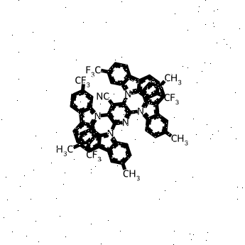 Cc1ccc2c(c1)c1cc(C)ccc1n2-c1nc(-n2c3ccc(C)cc3c3cc(C)ccc32)c(-n2c3cc(C(F)(F)F)ccc3c3ccc(C(F)(F)F)cc32)c(C#N)c1-n1c2cc(C(F)(F)F)ccc2c2ccc(C(F)(F)F)cc21